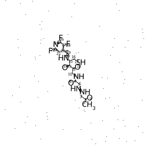 CC(=O)CNNCC(=O)NCC(=O)C(=O)[C@H](CS)NSc1cc(F)nc(F)c1F